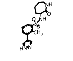 Cc1c(-c2cn[nH]c2)cccc1S(=O)(=O)N[C@@H]1CCCCNC1=O